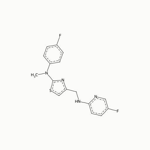 CN(c1ccc(F)cc1)c1nc(CNc2ccc(F)cn2)cs1